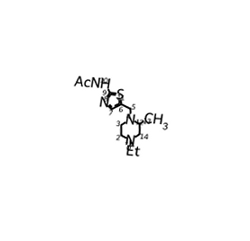 CCN1CCN(Cc2cnc(NC(C)=O)s2)C(C)C1